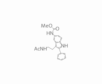 COC(=O)Nc1ccc2[nH]c(-c3ccccc3)c(CCNC(C)=O)c2c1